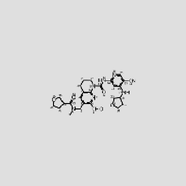 CN(Cc1cc2c(nc1C=O)N(C(=O)Nc1cc(NC3CCOC3)c(C#N)cn1)CCC2)C(=O)C1CCOC1